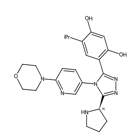 CC(C)c1cc(-c2nnc([C@H]3CCCN3)n2-c2ccc(N3CCOCC3)nc2)c(O)cc1O